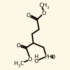 COC(=O)CCC(C[PH](=O)O)C(=O)OC